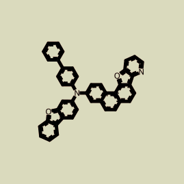 c1ccc(-c2ccc(N(c3ccc4c(ccc5ccc6c7ncccc7oc6c54)c3)c3ccc4c(c3)oc3ccccc34)cc2)cc1